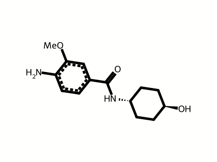 COc1cc(C(=O)N[C@H]2CC[C@H](O)CC2)ccc1N